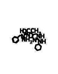 CC1(C)C2=C(CN1C(=O)N(N)Cc1ccccc1)N=C(NC1CCCCC1)NC2